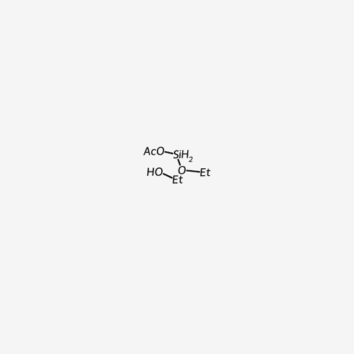 CCO.CCO[SiH2]OC(C)=O